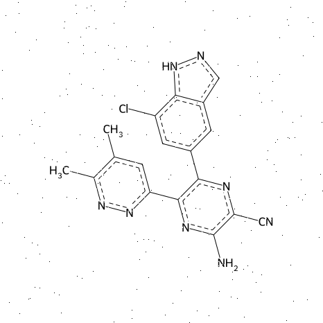 Cc1cc(-c2nc(N)c(C#N)nc2-c2cc(Cl)c3[nH]ncc3c2)nnc1C